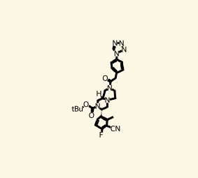 Cc1c([C@H]2CN3CCN(C(=O)Cc4ccc(-n5cnnn5)cc4)C[C@H]3CN2C(=O)OC(C)(C)C)ccc(F)c1C#N